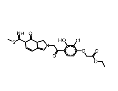 CCOC(=O)COc1ccc(C(=O)CN2C=C3C=CC(C(=N)SC)C(=O)C3C2)c(O)c1Cl